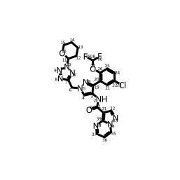 O=C(Nc1cn(Cc2nnn(C3CCCCO3)n2)nc1-c1cc(Cl)ccc1OC(F)F)c1cnn2cccnc12